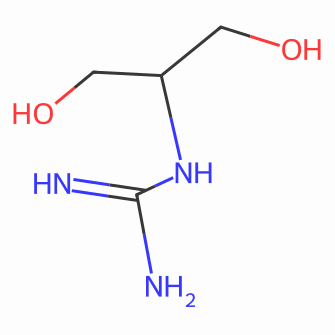 N=C(N)NC(CO)CO